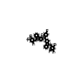 Fc1ccc(N(c2ccc3c(c2)c2ccccc2n3Cc2cc(F)c(F)cc2F)c2ccc3c(c2)c2ccccc2n3Cc2cc(F)c(F)cc2F)c(F)c1